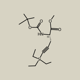 CC[Si](C#CC[C@H](NC(=O)OC(C)(C)C)C(=O)OC)(CC)CC